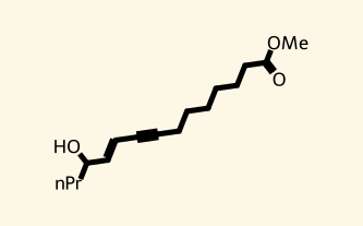 CCCC(O)C=CC#CCCCCCCC(=O)OC